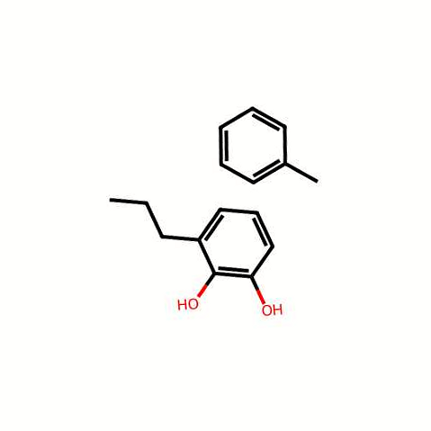 CCCc1cccc(O)c1O.Cc1ccccc1